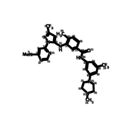 CNc1cc(-n2nc(C(F)(F)F)cc2Nc2cc(C(=O)Nc3cc(N4CCN(C)CC4)cc(C(F)(F)F)c3)ccc2C)ncn1